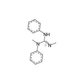 C/N=C(\Nc1ccccc1)N(C)c1ccccc1